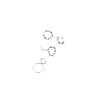 CCc1cc(-c2c(-c3ccncc3)n[nH]c2C)ccc1N1CC2(CCOCC2)C1